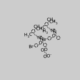 Cc1ccc(C(C)C)cc1CCC[n+]1ccn(CC(OCc2ccc(Br)cc2)c2ccccc2)c1.Cc1ccc(C(C)C)cc1CCC[n+]1ccn(CC(OCc2ccc(Br)cc2)c2ccccc2)c1.O=C([O-])CCC(=O)[O-]